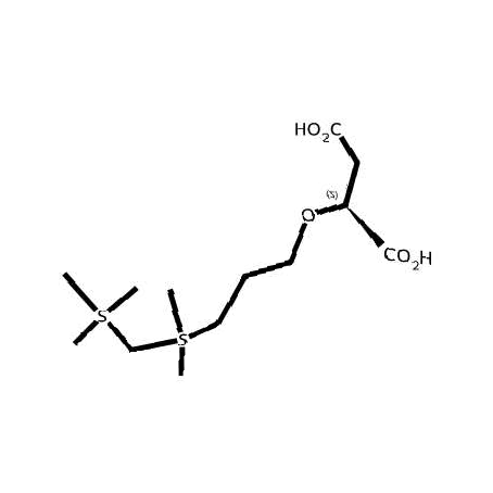 CS(C)(C)CS(C)(C)CCCO[C@@H](CC(=O)O)C(=O)O